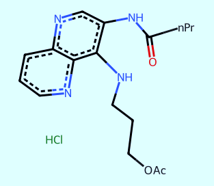 CCCC(=O)Nc1cnc2cccnc2c1NCCCOC(C)=O.Cl